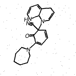 N#CC1(N2C=CCC3=CC=CNC32)C=CC=C(N2CCCCCC2)C1=O